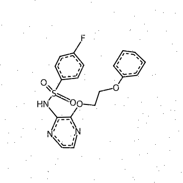 O=S(=O)(Nc1nccnc1OCCOc1ccccc1)c1ccc(F)cc1